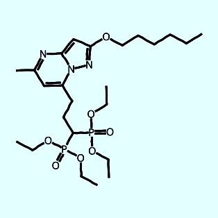 CCCCCCOc1cc2nc(C)cc(CCC(P(=O)(OCC)OCC)P(=O)(OCC)OCC)n2n1